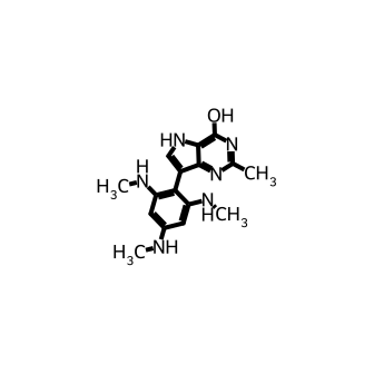 CNc1cc(NC)c(-c2c[nH]c3c(O)nc(C)nc23)c(NC)c1